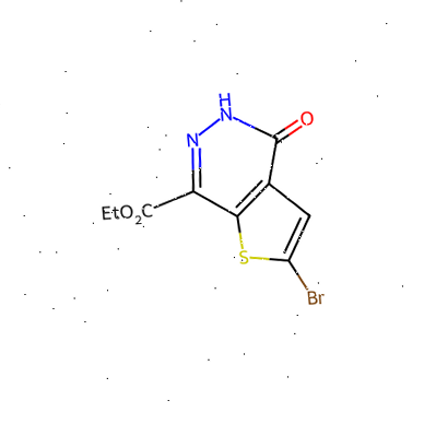 CCOC(=O)c1n[nH]c(=O)c2cc(Br)sc12